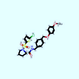 CC(C)(C)Oc1ccc(OCc2ccc(CNC(=O)[C@@H]3CCCN3S(=O)(=O)c3ccc(Cl)s3)cc2)cc1